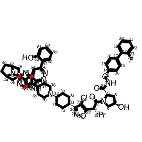 CC(C)[C@@H](C(=O)N1C[C@H](O)C[C@H]1C(=O)NOc1ccc(-c2ccccc2F)cc1)c1onc([C@H]2CC[C@@H](N3CCC(c4cnc(N5C6CCC5CN(c5c[nH]c7nnc(-c8ccccc8O)cc57)C6)nc4)CC3)CC2)c1Cl